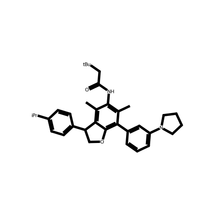 Cc1c(NC(=O)CC(C)(C)C)c(C)c2c(c1-c1cccc(N3CCCC3)c1)OCC2c1ccc(C(C)C)cc1